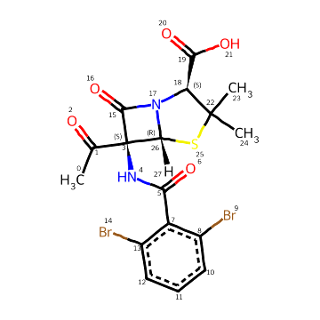 CC(=O)[C@]1(NC(=O)c2c(Br)cccc2Br)C(=O)N2[C@@H](C(=O)O)C(C)(C)S[C@@H]21